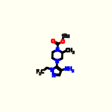 CC1CN(c2c(N)cnn2CC(F)(F)F)CCN1C(=O)OC(C)(C)C